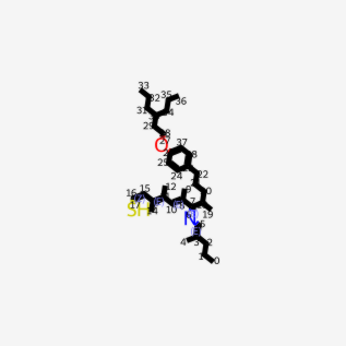 CCC/C(C)=C/N=C(/C(C)=C/C(C)=C(C)/C=C\S)C(C)CCCc1ccc(OCCC(CCC)CCC)cc1